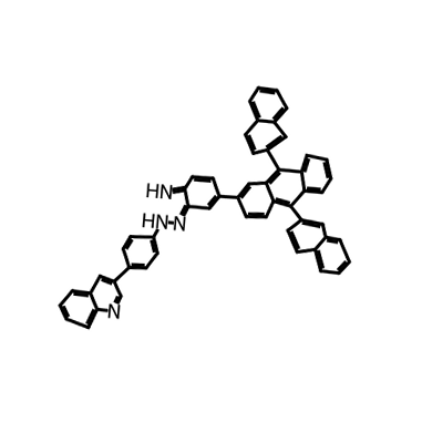 N=C1C=CC(c2ccc3c(-c4ccc5ccccc5c4)c4ccccc4c(-c4ccc5ccccc5c4)c3c2)=C/C1=N/Nc1ccc(-c2cnc3ccccc3c2)cc1